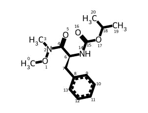 CON(C)C(=O)[C@H](Cc1ccccc1)NC(=O)OC(C)C